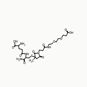 CC1(SCC(NC(=O)CCC(N)C(=O)O)C(N)=O)CC(=O)N(CCC(=O)NCCOCCOCCC(=O)O)C1=O